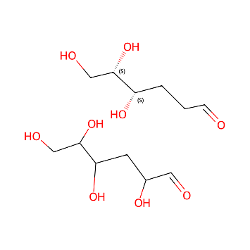 O=CC(O)CC(O)C(O)CO.O=CCC[C@H](O)[C@@H](O)CO